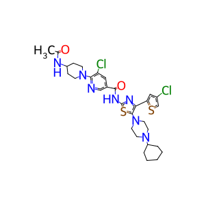 CC(=O)NC1CCN(c2ncc(C(=O)Nc3nc(-c4cc(Cl)cs4)c(N4CCN(C5CCCCC5)CC4)s3)cc2Cl)CC1